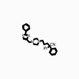 CC(C)C(C#N)(CCCN1CCN(Cc2csc(-c3ccccc3)n2)CC1)c1ccccc1